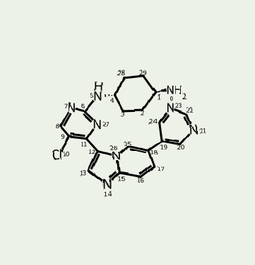 N[C@H]1CC[C@H](Nc2ncc(Cl)c(-c3cnc4ccc(-c5cncnc5)cn34)n2)CC1